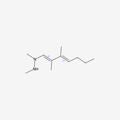 CCC/C=C(C)/C(C)=C/N(C)NC